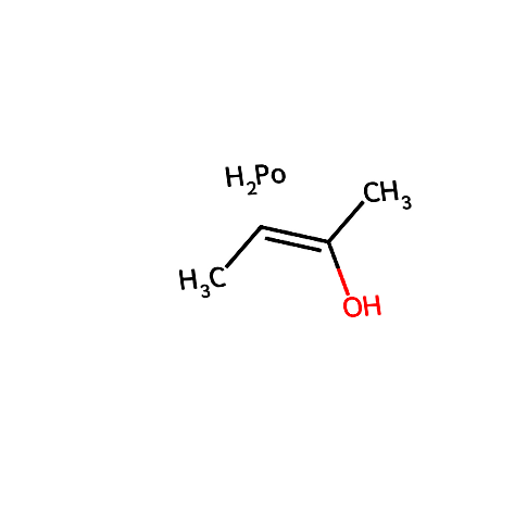 CC=C(C)O.[PoH2]